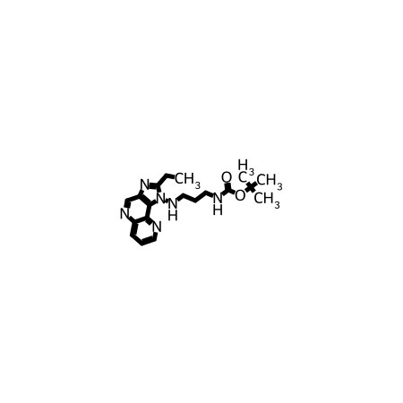 CCc1nc2cnc3cccnc3c2n1NCCCNC(=O)OC(C)(C)C